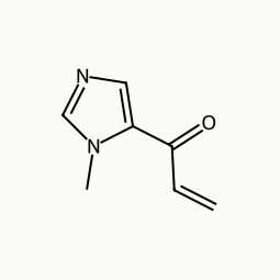 C=CC(=O)c1cncn1C